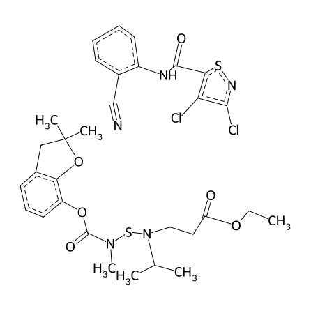 CCOC(=O)CCN(SN(C)C(=O)Oc1cccc2c1OC(C)(C)C2)C(C)C.N#Cc1ccccc1NC(=O)c1snc(Cl)c1Cl